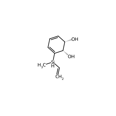 C=C[SiH](C)C1=CC=C[C@H](O)[C@@H]1O